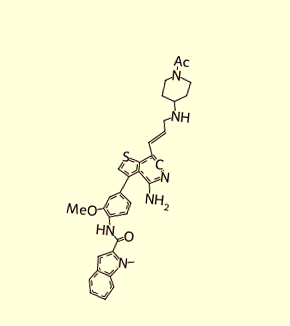 COc1cc(-c2csc3c(C=CCNC4CCN(C(C)=O)CC4)cnc(N)c23)ccc1NC(=O)c1cc2ccccc2n1C